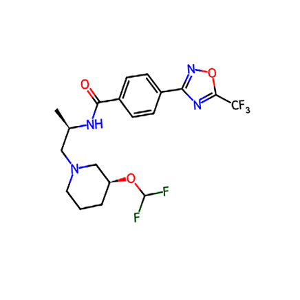 C[C@H](CN1CCC[C@H](OC(F)F)C1)NC(=O)c1ccc(-c2noc(C(F)(F)F)n2)cc1